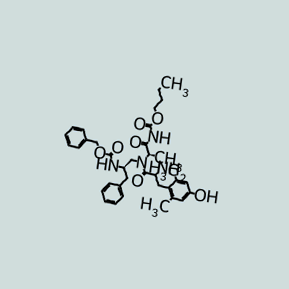 CCCCOC(=O)NC(=O)[C@@H](C)N(C[C@@H](Cc1ccccc1)NC(=O)OCc1ccccc1)C(=O)[C@@H](N)Cc1c(C)cc(O)cc1C